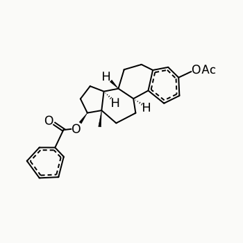 CC(=O)Oc1ccc2c(c1)CC[C@@H]1[C@@H]2CC[C@]2(C)[C@@H](OC(=O)c3ccccc3)CC[C@@H]12